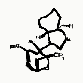 COC1=CC2=CC(C(F)(F)F)(O2)C1(C#N)N1CN[C@@H]2CCCC[C@H]21